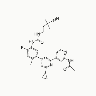 CC(=O)Nc1cc(-c2cc(-c3cc(NC(=O)NCCC(C)(C)C#N)c(F)cc3C)cc(C3CC3)n2)ccn1